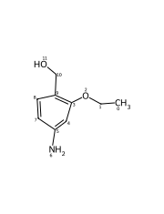 CCOc1cc(N)ccc1CO